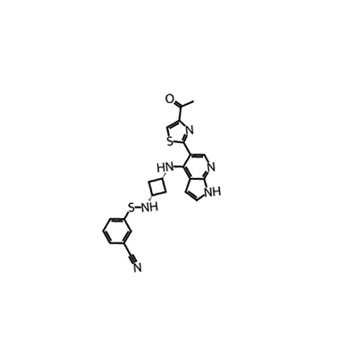 CC(=O)c1csc(-c2cnc3[nH]ccc3c2N[C@H]2C[C@@H](NSc3cccc(C#N)c3)C2)n1